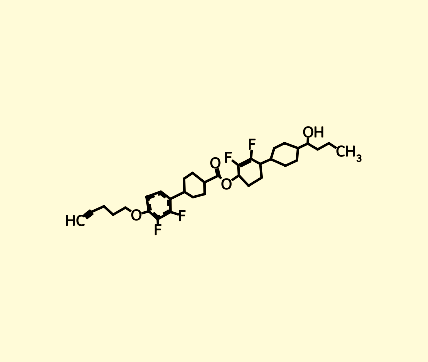 C#CCCCOc1ccc(C2CCC(C(=O)OC3CCC(C4CCC(C(O)CCC)CC4)C(F)=C3F)CC2)c(F)c1F